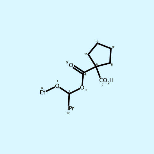 CCOC(OC(=O)C1(C(=O)O)CCCC1)C(C)C